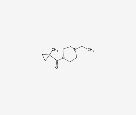 CCN1CCN(C(=O)C2(C)CC2)CC1